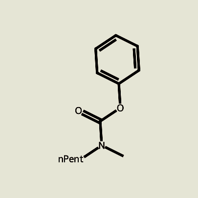 CCCCCN(C)C(=O)Oc1ccccc1